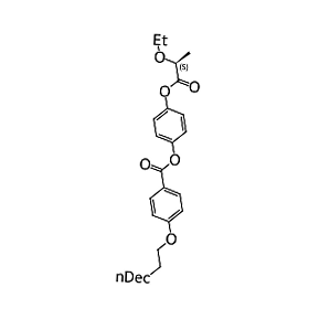 CCCCCCCCCCCCOc1ccc(C(=O)Oc2ccc(OC(=O)[C@H](C)OCC)cc2)cc1